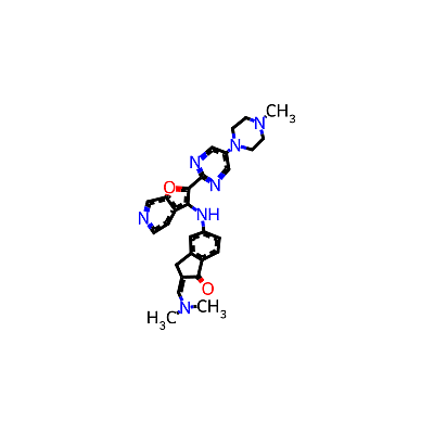 CN(C)/C=C1/Cc2cc(Nc3c(-c4ncc(N5CCN(C)CC5)cn4)oc4cnccc34)ccc2C1=O